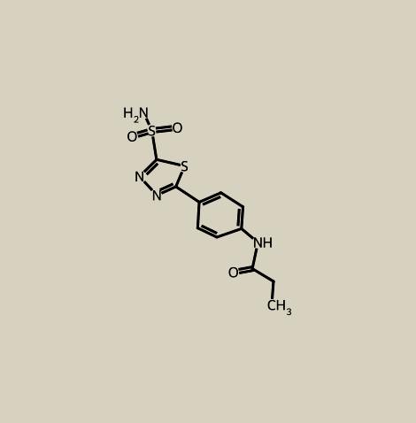 CCC(=O)Nc1ccc(-c2nnc(S(N)(=O)=O)s2)cc1